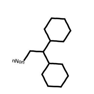 CCCCCCCCCCC(C1CCCCC1)C1CCCCC1